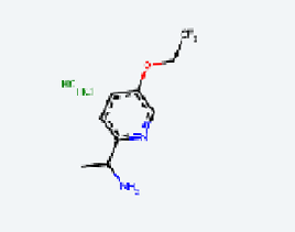 CC(N)c1ccc(OCC(F)(F)F)cn1.Cl.Cl